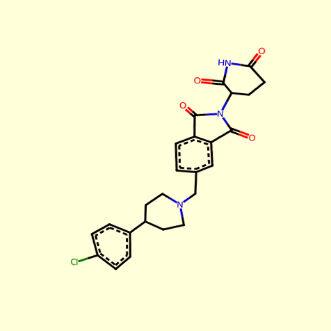 O=C1CCC(N2C(=O)c3ccc(CN4CCC(c5ccc(Cl)cc5)CC4)cc3C2=O)C(=O)N1